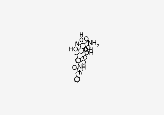 CC1c2ccc(NC(=O)[C@H](Cc3ccccc3)N(C)C)c(O)c2C(=O)C2=C(O)[C@]3(O)C(=O)C(C(N)=O)=C(O)[C@@H](N(C)C)C3C(O)C21